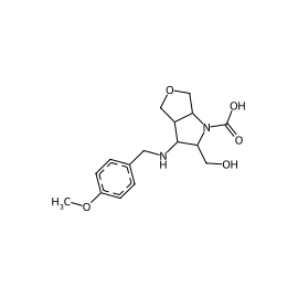 COc1ccc(CNC2C3COCC3N(C(=O)O)C2CO)cc1